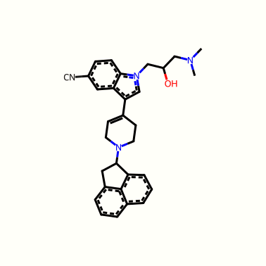 [C-]#[N+]c1ccc2c(c1)c(C1=CCN(C3Cc4cccc5cccc3c45)CC1)cn2CC(O)CN(C)C